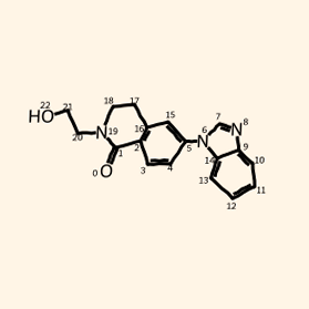 O=C1c2ccc(-n3cnc4ccccc43)cc2CCN1CCO